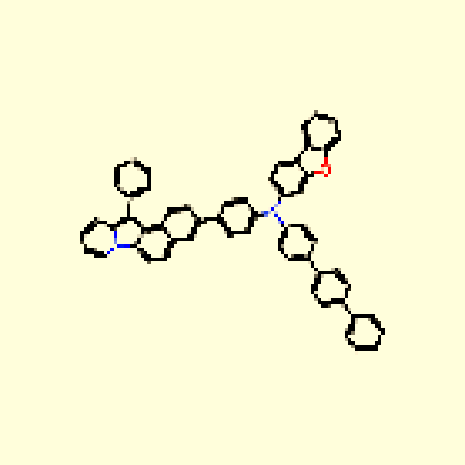 c1ccc(-c2ccc(-c3ccc(N(c4ccc(-c5ccc6c(ccc7c6c(-c6ccccc6)c6ccccn67)c5)cc4)c4ccc5c(c4)oc4ccccc45)cc3)cc2)cc1